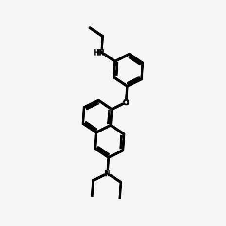 CCNc1cccc(Oc2cccc3cc(N(CC)CC)ccc23)c1